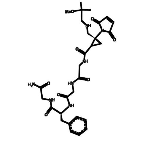 COC(C)(C)CNC[C@]1(N2C(=O)C=CC2=O)CC1C(=O)NCC(=O)NCC(=O)N[C@@H](Cc1ccccc1)C(=O)NCC(N)=O